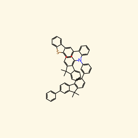 CC1(C)c2ccc(-c3cccc(N(c4ccccc4-c4ccc5sc6ccccc6c5c4)c4cccc5c4-c4ccccc4C5(C)C)c3)cc2-c2ccc(-c3ccccc3)cc21